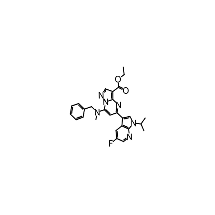 CCOC(=O)c1cnn2c(N(C)Cc3ccccc3)cc(-c3cn(C(C)C)c4ncc(F)cc34)nc12